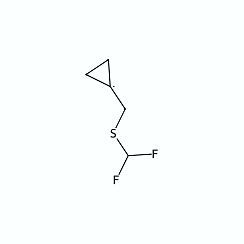 FC(F)SC[C]1CC1